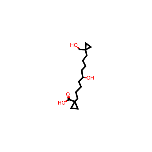 O=C(O)C1(CCCCC(O)CCCCC2(CO)CC2)CC1